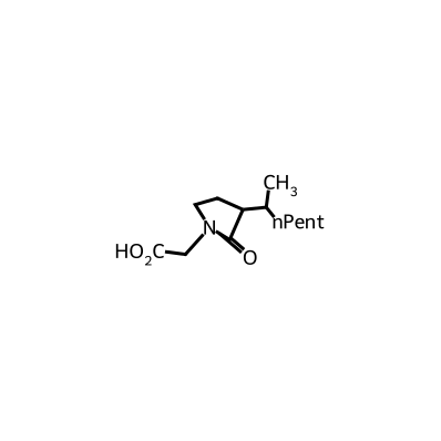 CCCCCC(C)C1CCN(CC(=O)O)C1=O